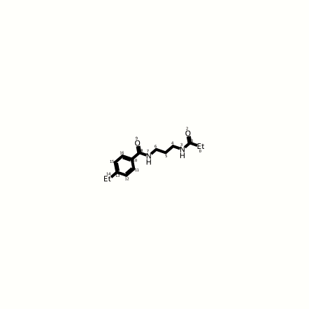 CCC(=O)NCCCNC(=O)c1ccc(CC)cc1